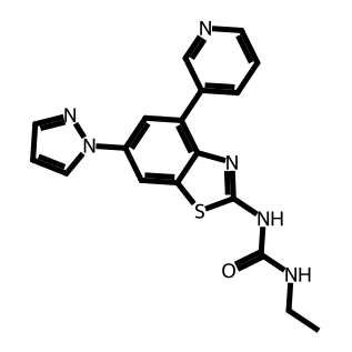 CCNC(=O)Nc1nc2c(-c3cccnc3)cc(-n3cccn3)cc2s1